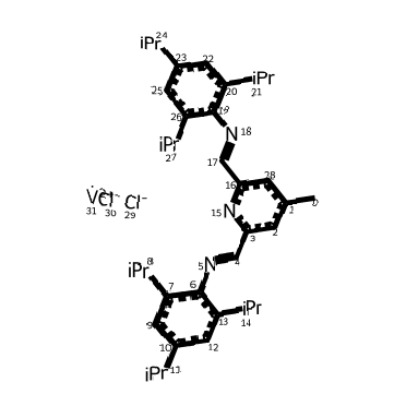 Cc1cc(C=Nc2c(C(C)C)cc(C(C)C)cc2C(C)C)nc(C=Nc2c(C(C)C)cc(C(C)C)cc2C(C)C)c1.[Cl-].[Cl-].[V+2]